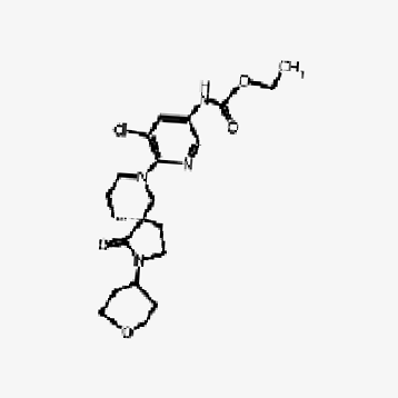 CCOC(=O)Nc1cnc(N2CCC[C@@]3(CCN(C4CCOCC4)C3=O)C2)c(Cl)c1